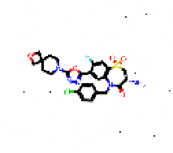 N[C@H]1CS(=O)(=O)c2cc(F)c(-c3nnc(N4CCC5(CC4)COC5)o3)cc2N(Cc2ccc(Cl)cc2)C1=O